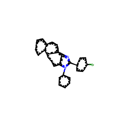 Brc1ccc(-c2nc3c4ccc5ccccc5c4ccc3n2-c2ccccc2)cc1